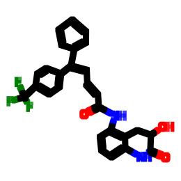 O=C(C=CC=C(c1ccccc1)c1ccc(C(F)(F)F)cc1)Nc1cccc2c1CC(O)C(=O)N2